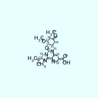 COc1cc(CN2C(=O)N3CC(C(C)C)N=C3c3ncc(C(=O)O)cc32)cc(OC)c1